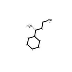 N[C@H](CCO)C1CCCCC1